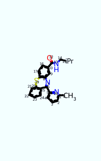 Cc1cccc(C2=Nc3cc(C(=O)NCC(C)C)ccc3Sc3ccccc32)n1